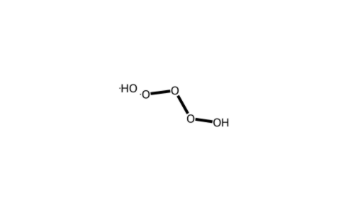 [OH].[O]OOO